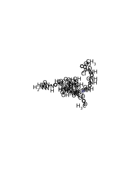 COc1ccc(C(OCC/C(C)=N\NC(=O)Nc2ccc3[nH]c(C(=O)Nc4ccc5[nH]c(C(=O)N6CC(CCl)c7c6cc(OC(C)=O)c6ccccc76)cc5c4)cc3c2)OCCN2C(=O)CC(SC[C@@H](NC(=O)[C@@H](CC(=O)O)NC(=O)[C@@H](CC(=O)O)NC(=O)[C@@H](CCCNC(=N)N)NC(=O)[C@@H](CC(=O)O)NC(=O)CC[C@H](NC(=O)c3ccc(NCc4cnc5nc(N)[nH]c(=O)c5n4)cc3)C(=O)O)C(=O)O)C2=O)cc1